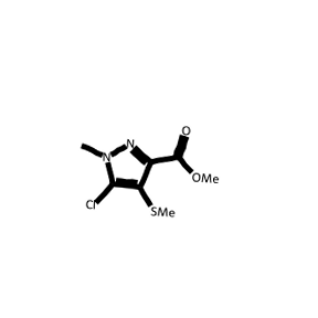 COC(=O)c1nn(C)c(Cl)c1SC